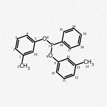 Cc1cccc(OP(Oc2cccc(C)c2)c2ccccc2)c1